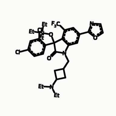 CCN(CC)C1CC(CN2C(=O)C(O[Si](CC)(CC)CC)(c3ccc(Cl)cc3Cl)c3c2cc(-c2ncco2)cc3C(F)(F)F)C1